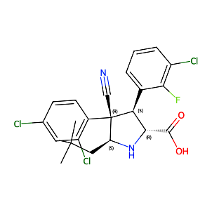 CC(C)(C)C[C@@H]1N[C@@H](C(=O)O)[C@H](c2cccc(Cl)c2F)[C@@]1(C#N)c1ccc(Cl)cc1Cl